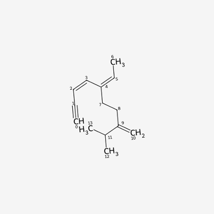 C#C/C=C\C(=C/C)CCC(=C)C(C)C